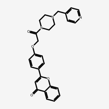 O=C(COc1ccc(-c2cc(=O)c3ccccc3o2)cc1)N1CCN(Cc2ccncc2)CC1